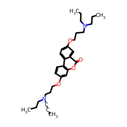 CCCN(CCC)CCCOc1ccc2c(c1)oc(=O)c1cc(OCCCN(CCC)CCC)ccc12